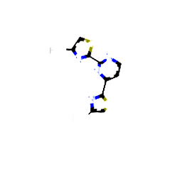 FC(F)(F)c1csc(-c2c[c]nc(-c3nc(C(F)(F)F)cs3)n2)n1